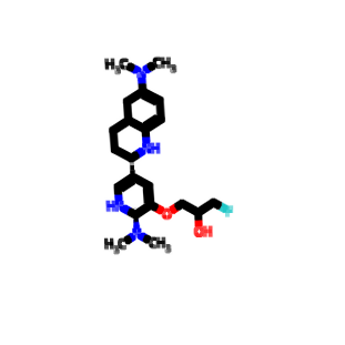 CN(C)C1=CC=C2N[C@H](C3=CN[C@H](N(C)C)C(OCC(O)CF)=C3)CCC2C1